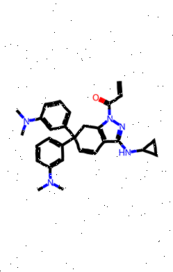 C=CC(=O)n1nc(NC2CC2)c2c1CC(c1cccc(N(C)C)c1)(c1cccc(N(C)C)c1)C=C2